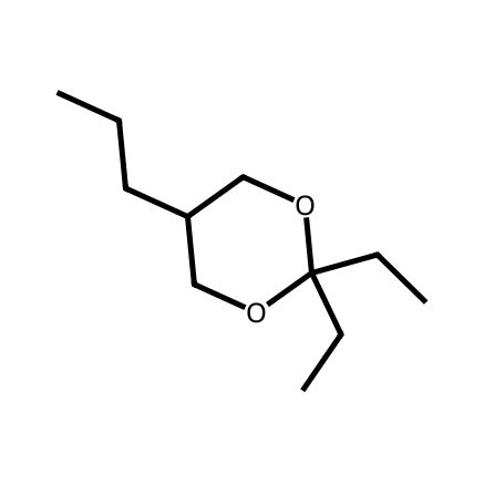 CCCC1COC(CC)(CC)OC1